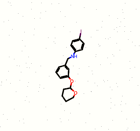 Ic1ccc(NCc2cccc(OC3CCCCO3)c2)cc1